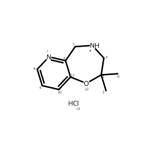 CC1(C)CNCc2ncccc2O1.Cl